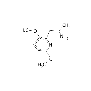 COc1ccc(OC)c(CC(C)N)n1